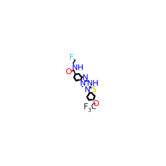 Cn1c(Nc2nc3ccc(OC(F)(F)F)cc3s2)nc2cc(C(=O)NCCF)ccc21